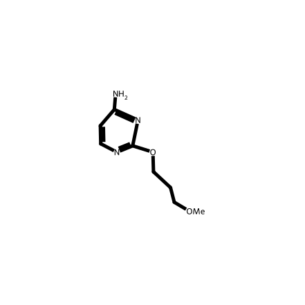 COCCCOc1nccc(N)n1